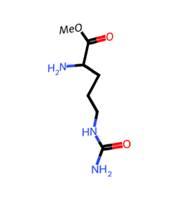 COC(=O)C(N)CCCNC(N)=O